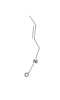 CC=C[CH2][Ni][Cl]